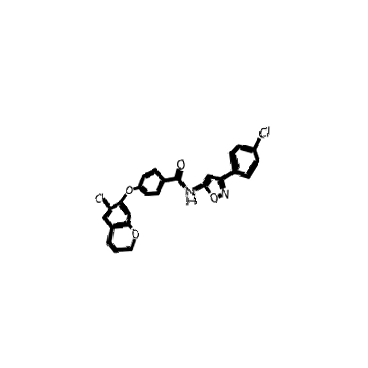 O=C(Nc1cc(-c2ccc(Cl)cc2)no1)c1ccc(Oc2cc3c(cc2Cl)CCCO3)cc1